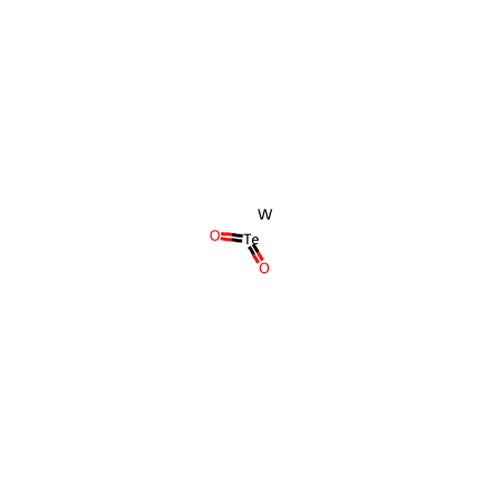 O=[Te]=O.[W]